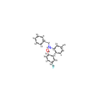 [CH2]c1cccc(N(Cc2ccccc2)Oc2ccc(F)cc2)c1